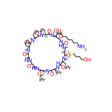 CC(C)CC[C@@H]1C(=O)N[C@H](C)C(=O)N[C@@H](C)C(=O)N(C)[C@@H](CC(C)C)C(=O)N(C)[C@@H](CC(C)C)C(=O)N(C)[C@@H](C(C)C)C(=O)N(C)[C@@H]([C@H](O)[C@H](C)CCCCCCN)C(=O)NC(=O)N(C)[C@H](CSCCCCO)C(=O)N(C)[C@@H](CC(C)C)C(=O)N[C@@H](C(C)C)C(=O)N1C